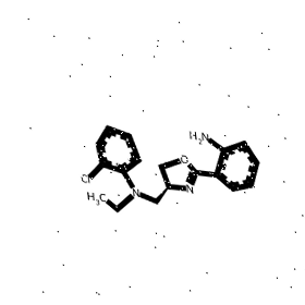 CCN(C[C@H]1COC(c2ccccc2N)=N1)c1ccccc1Cl